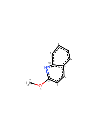 [InH2][O]c1ccc2ccccc2n1